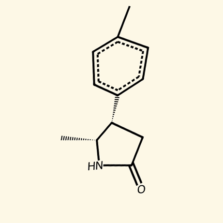 Cc1ccc([C@@H]2CC(=O)N[C@@H]2C)cc1